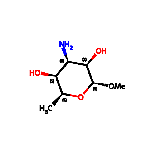 CO[C@@H]1O[C@@H](C)[C@@H](O)[C@@H](N)[C@@H]1O